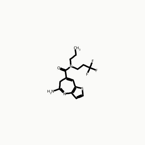 CCCN(CCC(F)(F)F)C(=O)C1=Cc2sccc2N=C(N)C1